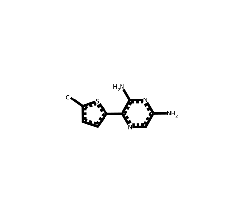 Nc1cnc(-c2ccc(Cl)s2)c(N)n1